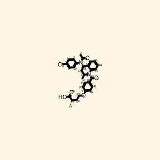 CC(=O)N(c1ccc(Cl)cc1)[C@@H]1CC(C)N(C(=O)c2ccc(OCC[C@H](C)C(=O)O)cc2)c2ccccc21